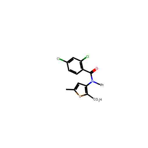 Cc1cc(N(C(=O)c2ccc(Cl)cc2Cl)C(C)C)c(C(=O)O)s1